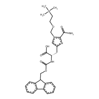 C[Si](C)(C)CCOCn1cc(C[C@H](NC(=O)OCC2c3ccccc3-c3ccccc32)C(=O)O)nc1C(N)=O